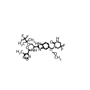 COC[C@H](c1ccc2[nH]c([C@H](COC(C)(C)C(F)(F)F)NC(=O)c3nonc3C)nc2c1)N1CC(F)(F)CNC1=O